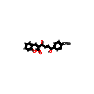 COc1ccc(C(=O)/C=C/C(=O)c2cc3ccccc3oc2=O)cc1